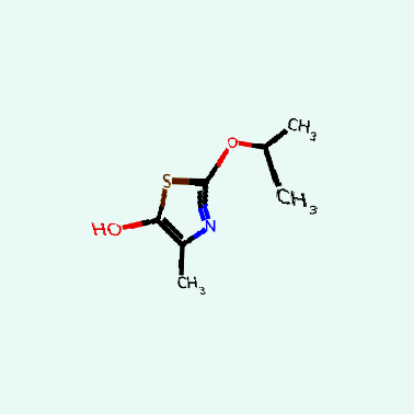 Cc1nc(OC(C)C)sc1O